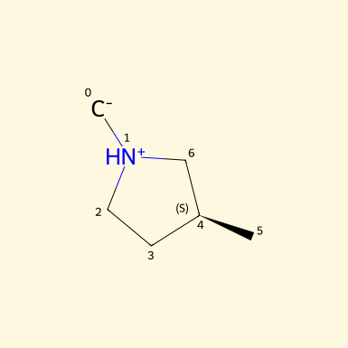 [CH2-][NH+]1CC[C@H](C)C1